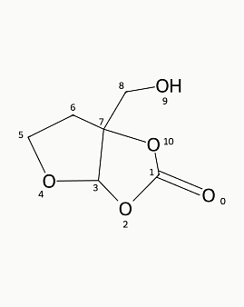 O=C1OC2OCCC2(CO)O1